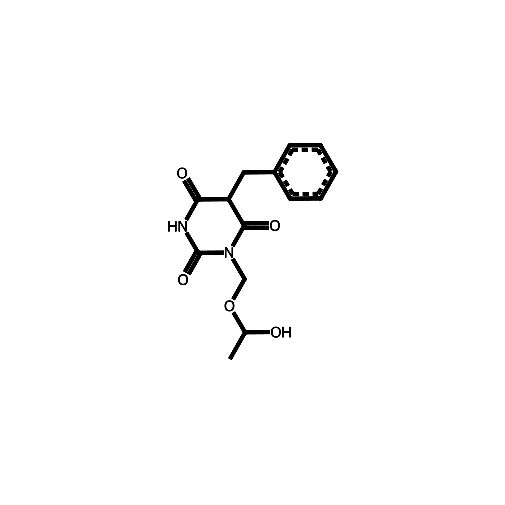 CC(O)OCN1C(=O)NC(=O)C(Cc2ccccc2)C1=O